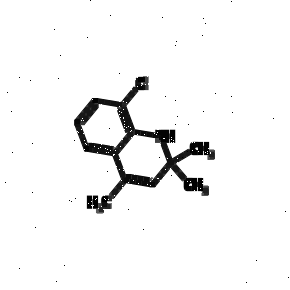 CC1=CC(C)(C)Nc2c(Cl)cccc21